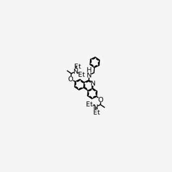 CCN(CC)C(C)Oc1ccc2c(c1)nc(NCc1ccccc1)c1cc(OC(C)N(CC)CC)ccc12